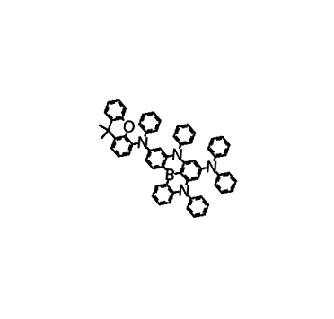 CC1(C)c2ccccc2Oc2c(N(c3ccccc3)c3ccc4c(c3)N(c3ccccc3)c3cc(N(c5ccccc5)c5ccccc5)cc5c3B4c3ccccc3N5c3ccccc3)cccc21